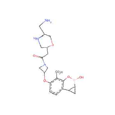 NCC1COC(CC(=O)N2CC(Oc3ccc4c(c3C(=O)O)OB(O)C3CC43)C2)CN1